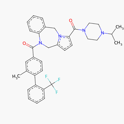 Cc1cc(C(=O)N2Cc3ccc(C(=O)N4CCN(C(C)C)CC4)n3Cc3ccccc32)ccc1-c1ccccc1C(F)(F)F